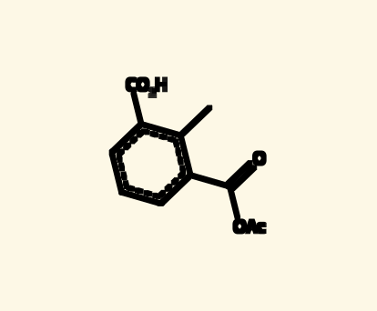 CC(=O)OC(=O)c1cccc(C(=O)O)c1C